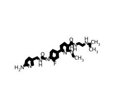 CCNc1nc(-c2ccc(NC(=O)NCc3ccc(N)nc3)c(F)c2)ccc1C(=O)NCCNC(C)C